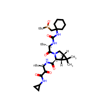 CCCC[C@@H](NC(=O)[C@@H]1[C@@H]2[C@H](CN1C(=O)[C@@H](NC(=O)NC1(C[S+]([O-])C(C)(C)C)CCCCC1)C(C)(C)C)C2(C)C)C(=O)C(=O)NC1CC1